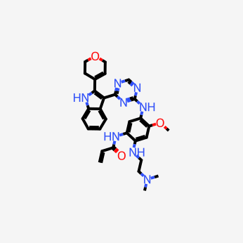 C=CC(=O)Nc1cc(Nc2ncnc(-c3c(C4=CCOCC4)[nH]c4ccccc34)n2)c(OC)cc1NCCN(C)C